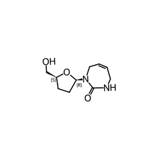 O=C1NCC=CCN1[C@H]1CC[C@@H](CO)O1